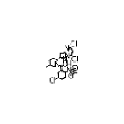 C[C@H]1CC[C@@H](c2cc3nc(Cl)cc(Cl)n3n2)N(C(=O)c2cc(Cl)ccc2NS(C)(=O)=O)C1